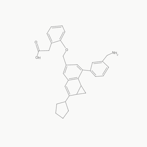 NCc1cccc(-c2cc(COc3ccccc3CC(=O)O)cc3c2C2CC2C(C2CCCC2)=C3)c1